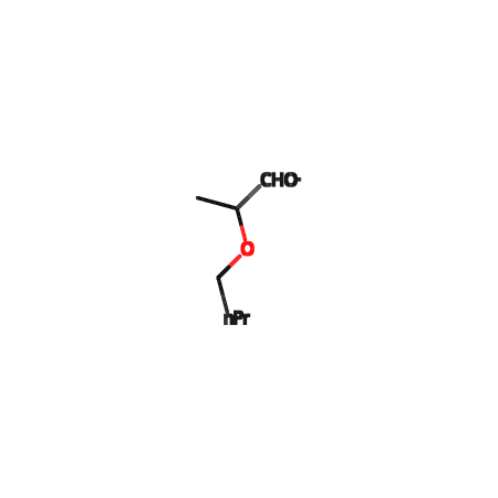 CCCCOC(C)[C]=O